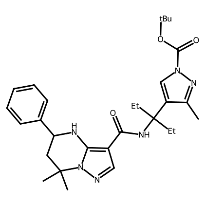 CCC(CC)(NC(=O)c1cnn2c1NC(c1ccccc1)CC2(C)C)c1cn(C(=O)OC(C)(C)C)nc1C